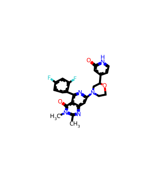 Cc1nc2cc(N3CCOC(c4cc[nH]c(=O)c4)C3)nc(-c3ccc(F)cc3F)c2c(=O)n1C